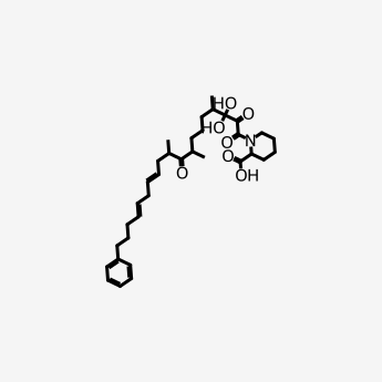 CC(C/C=C/C/C=C/CCCc1ccccc1)C(=O)C(C)CCCC(C)C(O)(O)C(=O)C(=O)N1CCCCC1C(=O)O